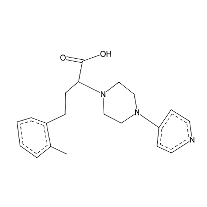 Cc1ccccc1CCC(C(=O)O)N1CCN(c2ccncc2)CC1